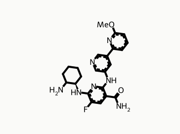 COc1cccc(-c2cncc(Nc3nc(N[C@@H]4CCCCC4N)c(F)cc3C(N)=O)c2)n1